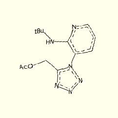 CC(=O)OCc1nnnn1-c1cccnc1NC(C)(C)C